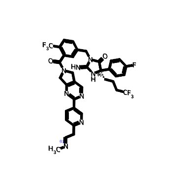 C/N=C/Cc1ccc(-c2ncc3c(n2)CN(C(=O)c2cc(CN4C(=N)N[C@](CCCC(F)(F)F)(c5ccc(F)cc5)C4=O)ccc2C(F)(F)F)C3)cn1